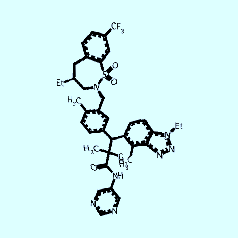 CC[C@H]1Cc2ccc(C(F)(F)F)cc2S(=O)(=O)N(Cc2cc(C(c3ccc4c(nnn4CC)c3C)C(C)(C)C(=O)Nc3cncnc3)ccc2C)C1